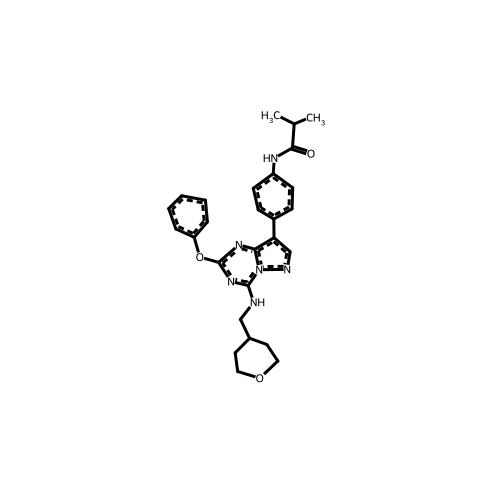 CC(C)C(=O)Nc1ccc(-c2cnn3c(NCC4CCOCC4)nc(Oc4ccccc4)nc23)cc1